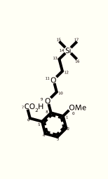 COc1cccc(CC(=O)O)c1OCOCC[Si](C)(C)C